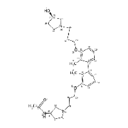 CC(=O)N[C@@H]1CCN(CCCOc2cccc(-c3cccc(OCCCN4CC[C@@H](O)C4)c3C)c2C)C1